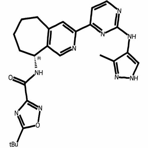 Cc1n[nH]cc1Nc1nccc(-c2cc3c(cn2)[C@H](NC(=O)c2noc(C(C)(C)C)n2)CCCC3)n1